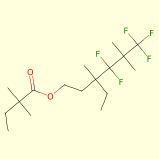 CCC(C)(C)C(=O)OCCC(C)(CC)C(F)(F)C(C)(C)C(F)(F)F